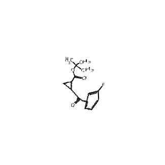 CC(C)(C)OC(=O)C1CC1C(=O)c1cccc(F)c1